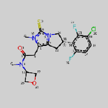 CN(C(=O)Cc1c2n(c(=S)n1C)C[C@H](c1c(F)ccc(Cl)c1F)C2)C1COC1